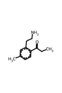 CCC(=O)c1ccc(C)cc1CCN